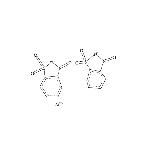 O=C1[N-]S(=O)(=O)c2ccccc21.O=C1[N-]S(=O)(=O)c2ccccc21.[Al+2]